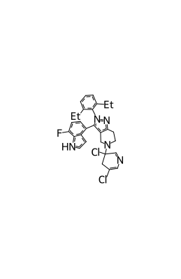 CCc1cccc(CC)c1-n1nc2c(c1-c1ccc(F)c3[nH]ccc13)CN(C1(Cl)C=NC=C(Cl)C1)CC2